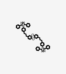 c1ccc(-c2nnc(-c3ccccc3)n2-c2ccc(CCCc3ccc4c(c3)Oc3ccc(CCCc5ccc(-n6c(-c7ccccc7)nnc6-c6ccccc6)cc5)cc3O4)cc2)cc1